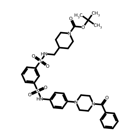 CC(C)(C)OC(=O)N1CCC(CNS(=O)(=O)c2cccc(S(=O)(=O)Nc3ccc(N4CCN(C(=O)c5ccccc5)CC4)cc3)c2)CC1